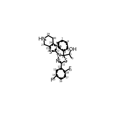 CC(O)C1(c2ccccc2)SC(c2cc(F)ccc2F)=NN1c1nc2c(s1)CNCC2